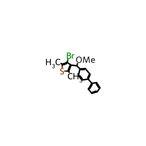 COC(c1ccc(-c2ccccc2)cc1)c1c(C)sc(C)c1Br